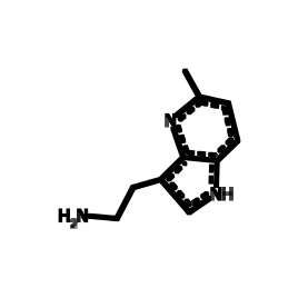 Cc1ccc2[nH]cc(CCN)c2n1